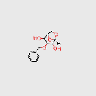 OC1C2CO[C@H](O2)C(O)[C@H]1OCc1ccccc1